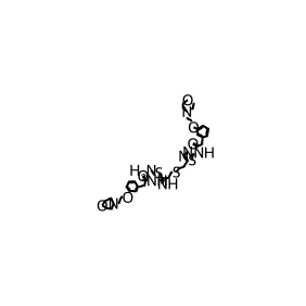 N=C(CCSCCc1nnc(NC(=O)Cc2cccc(OCCN3CCOCC3)c2)s1)SC(N)NC(=O)Cc1cccc(OCCN2CCOCC2)c1